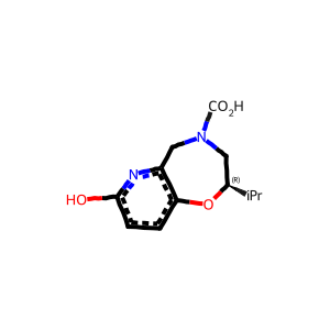 CC(C)[C@@H]1CN(C(=O)O)Cc2nc(O)ccc2O1